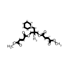 COC(=O)/C=C/C(=O)OCC(C)(COC(=O)/C=C/C(=O)OC)CN1CCCCC1